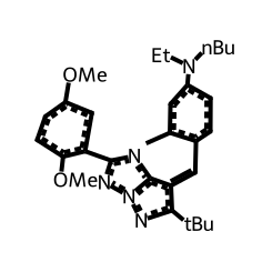 CCCCN(CC)c1ccc(/C=c2/c(C(C)(C)C)nn3nc(-c4cc(OC)ccc4OC)nc23)c(C)c1